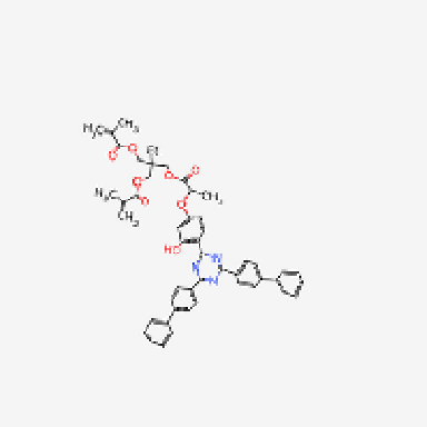 C=C(C)C(=O)OCC(CC)(COC(=O)C(=C)C)COC(=O)C(C)Oc1ccc(-c2nc(-c3ccc(-c4ccccc4)cc3)nc(-c3ccc(-c4ccccc4)cc3)n2)c(O)c1